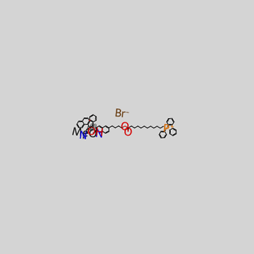 COc1nc2ccc(CCCCOC(=O)CCCCCCCCCCC[P+](c3ccccc3)(c3ccccc3)c3ccccc3)cc2cc1[C@@H](c1ccccc1)[C@@](O)(CCN(C)C)c1cccc2ccccc12.[Br-]